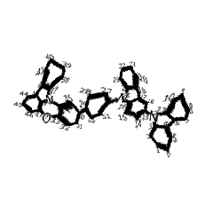 c1ccc2c(c1)c1ccccc1n2-c1ccc2c(c1)c1ccccc1n2-c1ccc(-c2ccc3c(c2)-n2c4ccccc4c4cccc(c42)O3)cc1